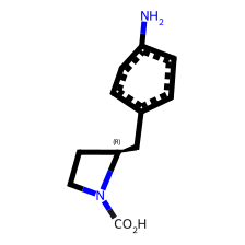 Nc1ccc(C[C@@H]2CCN2C(=O)O)cc1